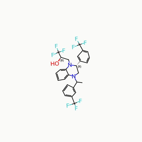 CC(c1cccc(C(F)(F)F)c1)N1C[C@@H](c2cccc(C(F)(F)F)c2)N(C[C@@H](O)C(F)(F)F)c2ccccc21